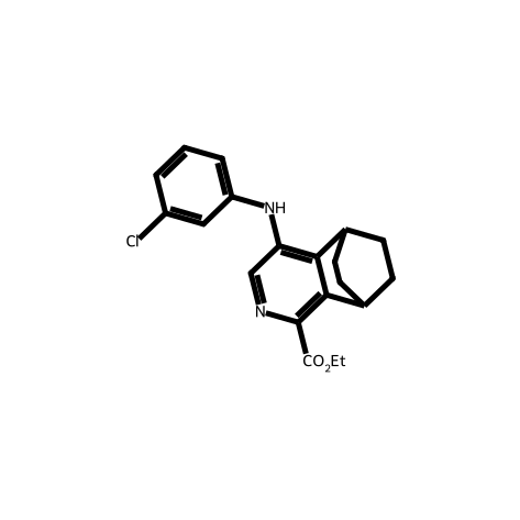 CCOC(=O)c1ncc(Nc2cccc(Cl)c2)c2c1C1CCC2CC1